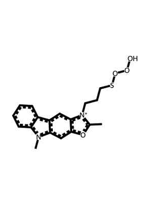 Cc1oc2cc3c(cc2[n+]1CCCSOOO)c1ccccc1n3C